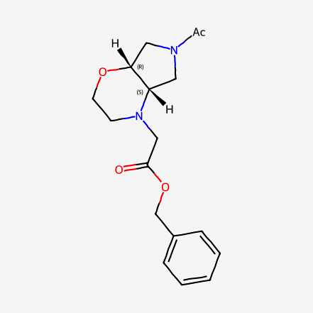 CC(=O)N1C[C@H]2OCCN(CC(=O)OCc3ccccc3)[C@H]2C1